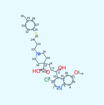 COc1ccc2ncc(Cl)c([C@H](O)CCC3(C(=O)O)CCN(CCCSc4ccc(C)cc4)CC3)c2c1